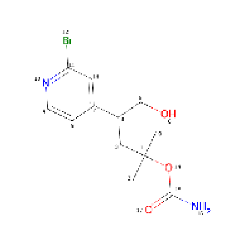 CC(C)(CC(CO)c1ccnc(Br)c1)OC(N)=O